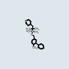 CC(C)(Cc1ccncc1)[Si](C)(C)OCc1ccc(C(=O)O)c(-c2ccccc2)c1